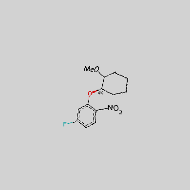 COC1CCCC[C@H]1Oc1cc(F)ccc1[N+](=O)[O-]